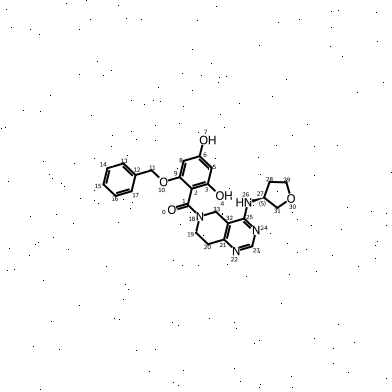 O=C(c1c(O)cc(O)cc1OCc1ccccc1)N1CCc2ncnc(N[C@H]3CCOC3)c2C1